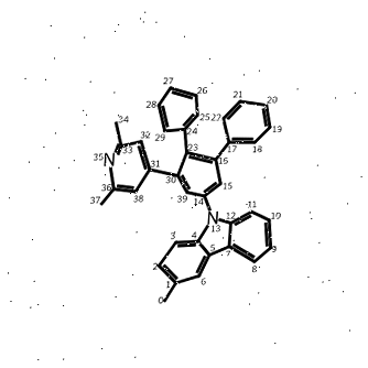 Cc1ccc2c(c1)c1ccccc1n2-c1cc(-c2ccccc2)c(-c2ccccc2)c(-c2cc(C)nc(C)c2)c1